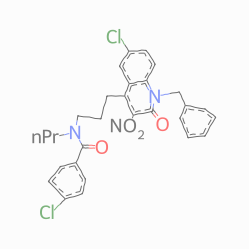 CCCN(CCCc1c([N+](=O)[O-])c(=O)n(Cc2ccccc2)c2ccc(Cl)cc12)C(=O)c1ccc(Cl)cc1